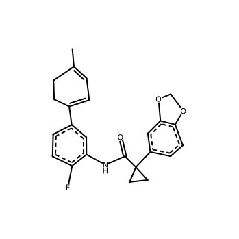 CC1=CC=C(c2ccc(F)c(NC(=O)C3(c4ccc5c(c4)OCO5)CC3)c2)CC1